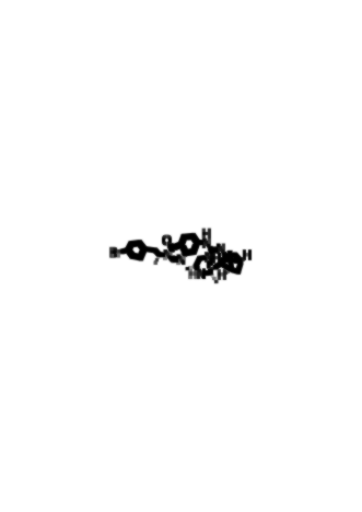 C[C@@H]1CN(/C(=N\C2C[C@H]3C[C@@H]([C@@H]2C)C3(C)C)Nc2ccc3c(=O)n([C@H](C)Cc4ccc(Br)cc4)cnc3c2)C[C@H](C)N1